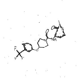 Cn1nccc(NC(=O)N2CCC(Oc3cccc(C(F)(F)F)c3)CC2)c1=O